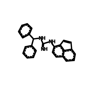 N=C(Nc1ccc2cccc3c2c1C=C3)NC(c1ccccc1)c1ccccc1